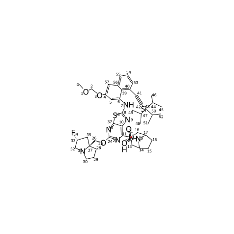 COCOc1cc(Nc2nc3c(N4CC5CCC(C4)N5C(=O)O)nc(OC[C@@]45CCCN4C[C@H](F)C5)nc3s2)c2c(C#C[Si](C(C)C)(C(C)C)C(C)C)cccc2c1